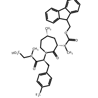 C[C@H]1CCN([C@@H](Cc2ccc(C(F)(F)F)cc2)C(=O)N(C)CC(=O)O)C(=O)[C@@H](N(C)C(=O)OCC2c3ccccc3-c3ccccc32)C1